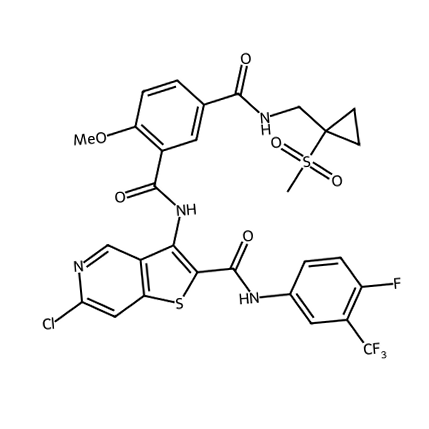 COc1ccc(C(=O)NCC2(S(C)(=O)=O)CC2)cc1C(=O)Nc1c(C(=O)Nc2ccc(F)c(C(F)(F)F)c2)sc2cc(Cl)ncc12